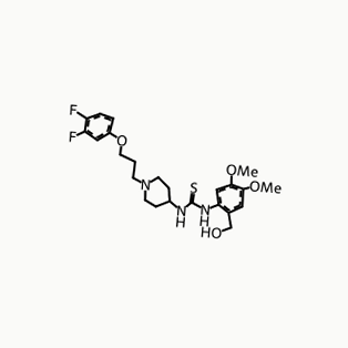 COc1cc(CO)c(NC(=S)NC2CCN(CCCOc3ccc(F)c(F)c3)CC2)cc1OC